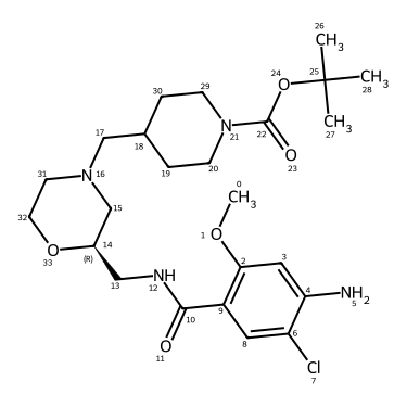 COc1cc(N)c(Cl)cc1C(=O)NC[C@@H]1CN(CC2CCN(C(=O)OC(C)(C)C)CC2)CCO1